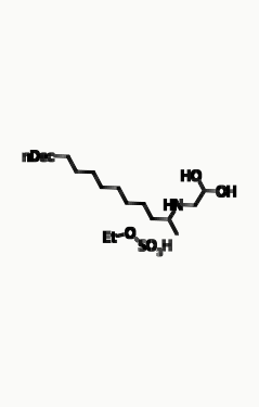 CCCCCCCCCCCCCCCCCCC(C)NCC(O)O.CCOS(=O)(=O)O